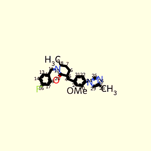 COc1cc(/C=C2\CC[C@H](C)N(Cc3ccc(F)cc3)C2=O)ccc1-n1cnc(C)c1